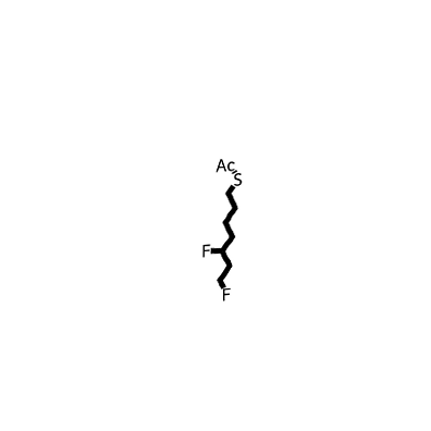 CC(=O)SCCCCC(F)CCF